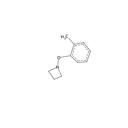 Cc1[c]cccc1ON1CCC1